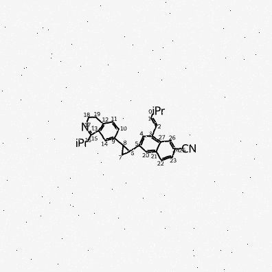 CC(C)/C=C/c1cc(C2CC2c2ccc3c(c2)C(C(C)C)=NCC3)cc2ccc(C#N)cc12